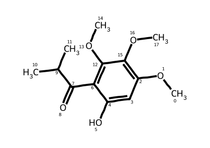 COc1cc(O)c(C(=O)C(C)C)c(OC)c1OC